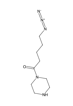 [N-]=[N+]=NCCCCC(=O)N1CCNCC1